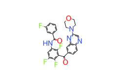 O=C(Nc1cc(F)c(F)c(C(=O)c2ccc3ncc(N4CCOCC4)nc3c2)c1F)c1cccc(F)c1